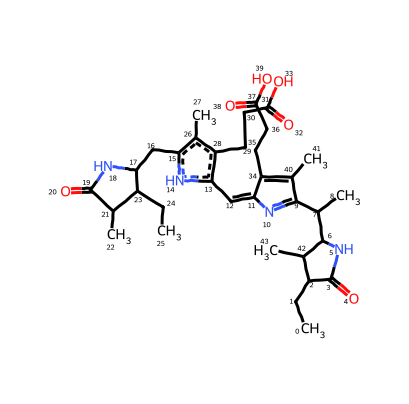 CCC1C(=O)NC(C(C)C2=NC(=Cc3[nH]c(CC4NC(=O)C(C)C4CC)c(C)c3CCC(=O)O)C(CCC(=O)O)=C2C)C1C